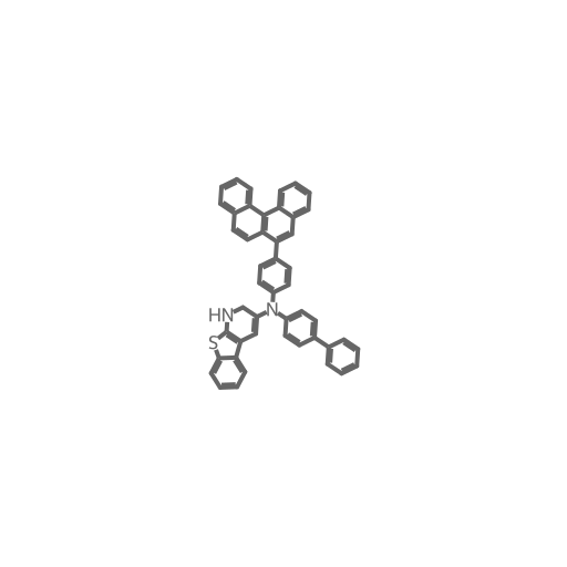 C1=C(N(c2ccc(-c3ccccc3)cc2)c2ccc(-c3cc4ccccc4c4c3ccc3ccccc34)cc2)CNc2sc3ccccc3c21